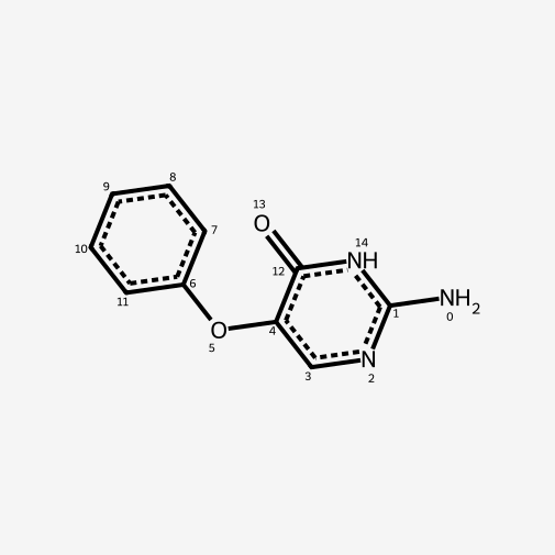 Nc1ncc(Oc2ccccc2)c(=O)[nH]1